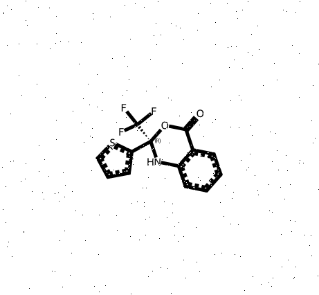 O=C1O[C@@](c2cccs2)(C(F)(F)F)Nc2ccccc21